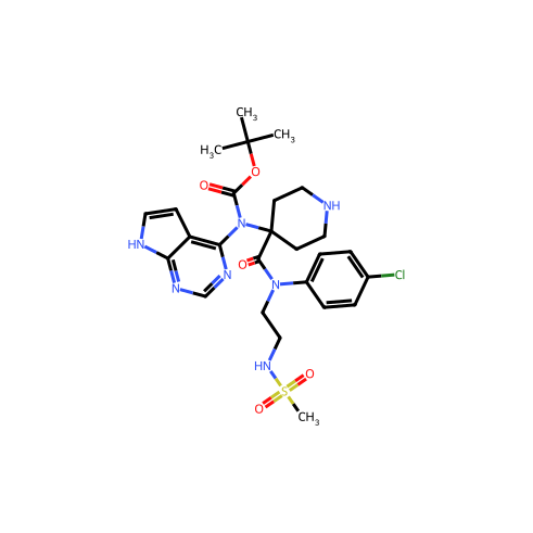 CC(C)(C)OC(=O)N(c1ncnc2[nH]ccc12)C1(C(=O)N(CCNS(C)(=O)=O)c2ccc(Cl)cc2)CCNCC1